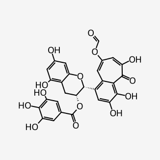 O=COc1cc(O)c(=O)c2c(O)c(O)cc([C@H]3Oc4cc(O)cc(O)c4C[C@H]3OC(=O)c3cc(O)c(O)c(O)c3)c2c1